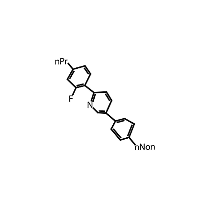 CCCCCCCCCc1ccc(-c2ccc(-c3ccc(CCC)cc3F)nc2)cc1